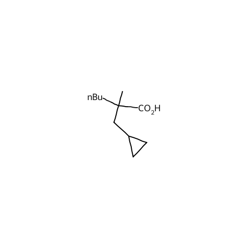 CCCCC(C)(CC1CC1)C(=O)O